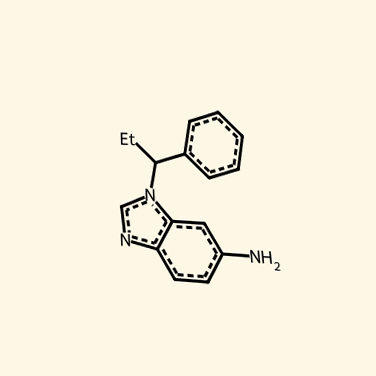 CCC(c1ccccc1)n1cnc2ccc(N)cc21